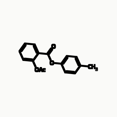 CC(=O)Oc1ccccc1C(=O)Oc1ccc(C)cc1